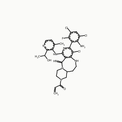 C=CC(=O)N1CCN2C(=N)c3c(Nc4c(C)ccnc4C(C)O)nc(-c4c(N)c(Cl)cc(Cl)c4F)c(Cl)c3NCCC2C1